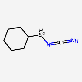 N=C=N[SiH2]C1CCCCC1